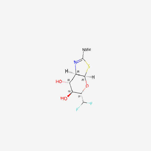 CNC1=N[C@@H]2[C@@H](O)[C@H](O)[C@@H](C(F)F)O[C@@H]2S1